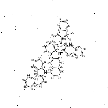 CC1(C)c2ccccc2-c2cccc(-c3nc4ccccc4nc3-n3c4ccccc4c4cc5c(-n6c7ccccc7c7c8ccccc8ccc76)cccc5cc43)c21